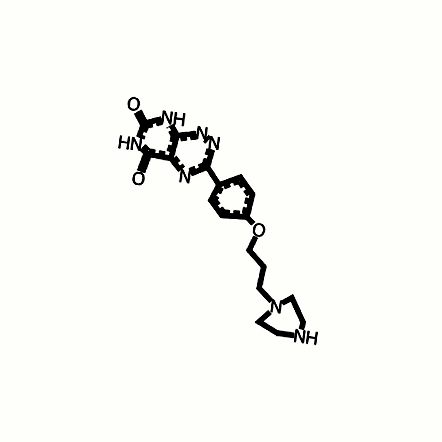 O=c1[nH]c(=O)c2nc(-c3ccc(OCCCN4CCNCC4)cc3)nnc2[nH]1